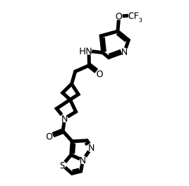 O=C(CC1CC2(C1)CN(C(=O)c1cnn3ccsc13)C2)Nc1cncc(OC(F)(F)F)c1